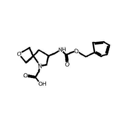 O=C(NC1CN(C(=O)O)C2(COC2)C1)OCc1ccccc1